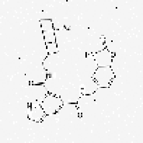 CC(=O)C12C3C4C1C1C2C3C41CNC(=O)c1cc(C(=O)NCc2ccc3oc(=O)[nH]c3c2)nc2ccnn12